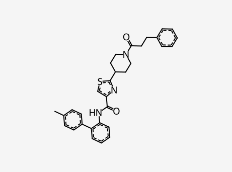 Cc1ccc(-c2ccccc2NC(=O)c2csc(C3CCN(C(=O)CCc4ccccc4)CC3)n2)cc1